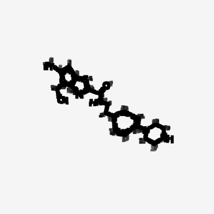 CC(C)c1cc2sc(C(=O)NCCc3ccc(N4CCNCC4)cc3)nc2n1CC#N